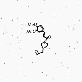 COc1ccc(C=CC(=O)N2CCN(CC3CO3)CC2)cc1OC